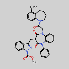 COc1cccc2c1CCCCN2C(=O)CN1C(=O)[C@@H](Cc2nn(C(=O)OC(C)(C)C)c3ccccc23)C(=O)N(c2ccccc2)c2ccccc21